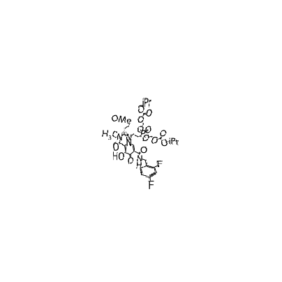 COCC[C@H]1N(C)C(=O)c2c(O)c(=O)c(C(=O)NCc3ccc(F)cc3F)cn2N1CCP(=O)(OCOC(=O)OC(C)C)OCOC(=O)OC(C)C